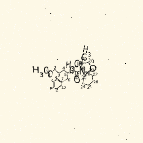 COCCCC(Cc1ccccc1)OC(=O)N1C(C)(C)COC12CCCCC2